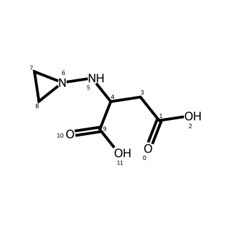 O=C(O)CC(NN1CC1)C(=O)O